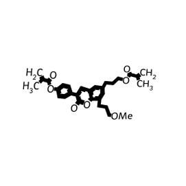 C=C(C)C(=O)OCCCc1cc(CCCOC)c2oc(=O)c(-c3ccc(OC(=O)C(=C)C)cc3)cc2c1